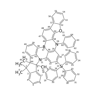 CC1(C)c2ccccc2C2(C)N3c4cc([Si](c5ccccc5)(c5ccccc5)c5ccccc5)cc5c4B(c4cccc(c43)C12C)c1ccc2c(oc3ccccc32)c1N5c1ccccc1